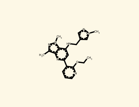 CCOc1ncccc1-c1cc(NCc2cnn(C)c2)c2c(n1)c(C)nn2C